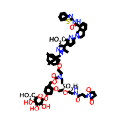 Cc1c(-c2ccc(N3CCc4cccc(C(=O)Nc5nc6ccccc6s5)c4C3)nc2C(=O)O)cnn1CC12CC3(C)CC(C)(C1)CC(OCCN(CCS(=O)(=O)O)C(=O)OCc1ccc(O[C@@H]4O[C@H](C(=O)O)[C@@H](O)[C@H](O)[C@H]4O)cc1OCCOCCNC(=O)CCN1C(=O)C=CC1=O)(C3)C2